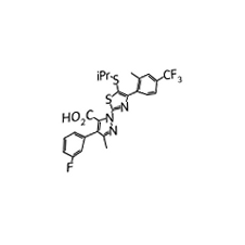 Cc1cc(C(F)(F)F)ccc1-c1nc(-n2nc(C)c(-c3cccc(F)c3)c2C(=O)O)sc1SC(C)C